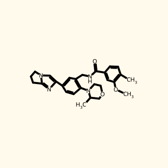 COc1cc(C(=O)NCc2cc(-c3cn4c(n3)CCC4)ccc2N2CCOCC2C)ccc1C